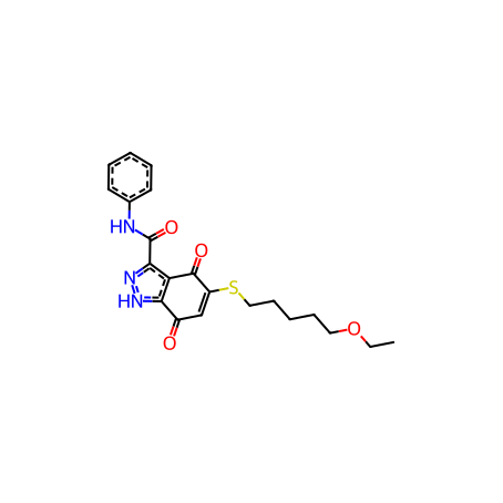 CCOCCCCCSC1=CC(=O)c2[nH]nc(C(=O)Nc3ccccc3)c2C1=O